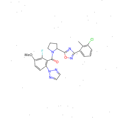 COc1ccc(-n2nccn2)c(C(=O)N2CCCC2c2nc(-c3cccc(Cl)c3C)no2)c1F